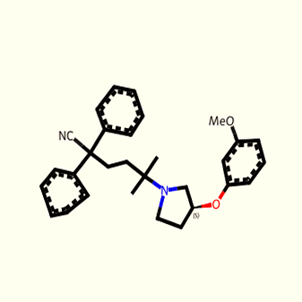 COc1cccc(O[C@H]2CCN(C(C)(C)CCC(C#N)(c3ccccc3)c3ccccc3)C2)c1